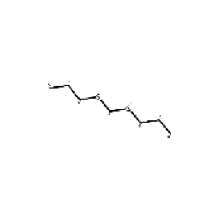 CCCSCSCCC